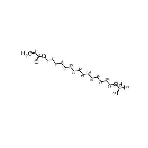 C=CC(=O)OCCCCCCCCCCCCCCC[SiH2]C(I)I